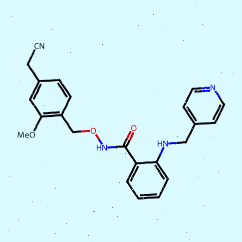 COc1cc(CC#N)ccc1CONC(=O)c1ccccc1NCc1ccncc1